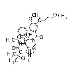 COCCCOc1cc(C(=O)N(C[C@H]2CNC[C@H]2C(Cc2ccccc2)N(C(=O)OC(C)(C)C)C(C)C)C(C)C)ccc1OC